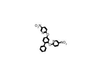 O=[N+]([O-])c1ccc(Oc2ccc(-c3ccccc3)c(Oc3ccc([N+](=O)[O-])cn3)c2)nc1